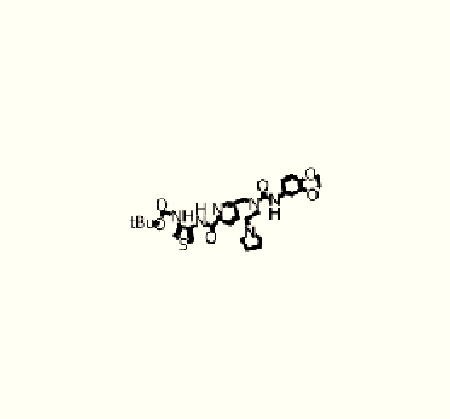 CC(C)(C)OC(=O)Nc1cscc1NC(=O)c1ccc(CN(CCN2CCCC2)C(=O)Nc2ccc3c(c2)OCCO3)cn1